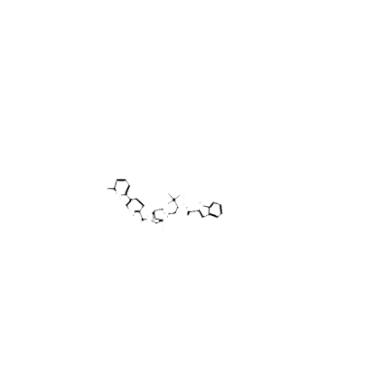 CC(C)(C)[C@H](NC(=O)c1cc2ccccc2[nH]1)C(=O)N1CC2C[C@H]1CN2C(=O)c1ccc(-c2cccc(Cl)n2)cn1